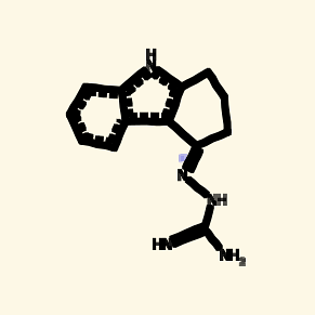 N=C(N)N/N=C1\CCCc2[nH]c3ccccc3c21